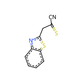 N#CC(=S)Cc1nc2ccccc2s1